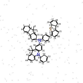 CC1(C)c2ccccc2-c2ccc(N(c3ccc(-c4cccc5c4SC4C=CC=CC54)cc3)c3ccc4c(c3)C(C)(C)c3ccccc3N4C3C=CC=CC3)cc21